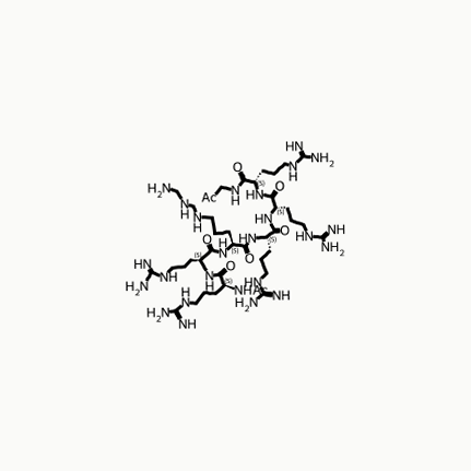 CC(=O)CNC(=O)[C@H](CCCNC(=N)N)NC(=O)[C@H](CCCNC(=N)N)NC(=O)[C@H](CCCNC(=N)N)NC(=O)[C@H](CCCNCNCN)NC(=O)[C@H](CCCNC(=N)N)NC(=O)[C@H](CCCNC(=N)N)NC(C)=O